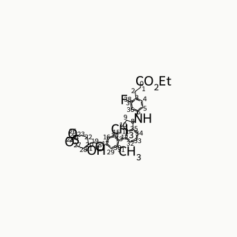 CCOC(=O)CCc1ccc(NC2CCc3c(-c4c(C)cc(OCC5(O)CCS(=O)(=O)CC5)cc4C)cccc32)cc1F